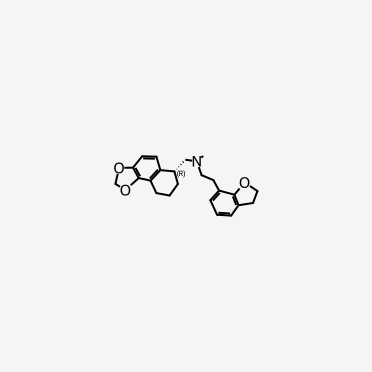 CN(CCc1cccc2c1OCC2)C[C@@H]1CCCc2c1ccc1c2OCO1